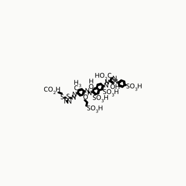 Cc1cc(N=Nc2c(S(=O)(=O)O)cc3c(S(=O)(=O)O)c(N=Nc4c(C(=O)O)nn(-c5ccc(S(=O)(=O)O)cc5)c4O)ccc3c2O)c(OCCCS(=O)(=O)O)cc1N=Nc1nnc(SCCC(=O)O)s1